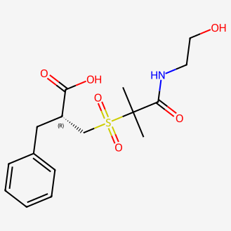 CC(C)(C(=O)NCCO)S(=O)(=O)C[C@H](Cc1ccccc1)C(=O)O